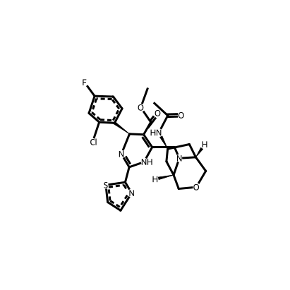 COC(=O)C1=C(CN2[C@@H]3COC[C@H]2C[C@H](NC(C)=O)C3)NC(c2nccs2)=N[C@H]1c1ccc(F)cc1Cl